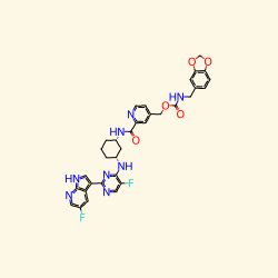 O=C(NCc1ccc2c(c1)OCO2)OCc1ccnc(C(=O)N[C@H]2CCC[C@@H](Nc3nc(-c4c[nH]c5ncc(F)cc45)ncc3F)C2)c1